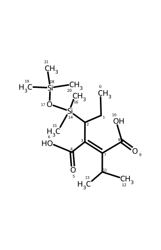 CCC(/C(C(=O)O)=C(\C(=O)O)C(C)C)[Si](C)(C)O[Si](C)(C)C